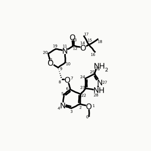 COc1cncc(OC[C@H]2CN(C(=O)OC(C)(C)C)CCO2)c1-c1cc(N)n[nH]1